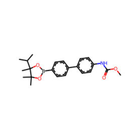 COC(=O)Nc1ccc(-c2ccc(B3OC(C)(C)C(C)(C(C)C)O3)cc2)cc1